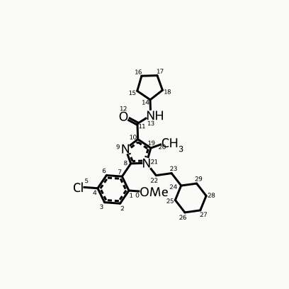 COc1ccc(Cl)cc1-c1nc(C(=O)NC2CCCC2)c(C)n1CCC1CCCCC1